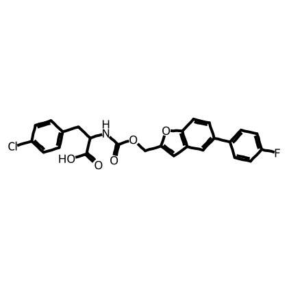 O=C(NC(Cc1ccc(Cl)cc1)C(=O)O)OCc1cc2cc(-c3ccc(F)cc3)ccc2o1